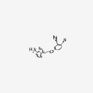 N#Cc1ccc(OCCn2cnc3c(N)ncnc32)cc1C#N